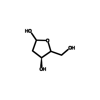 OCC1OC(O)C[C@@H]1O